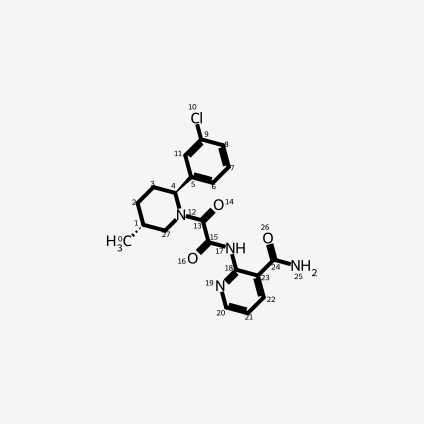 C[C@@H]1CC[C@@H](c2cccc(Cl)c2)N(C(=O)C(=O)Nc2ncccc2C(N)=O)C1